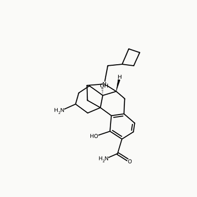 NC(=O)c1ccc2c(c1O)C13CCN(CC4CCC4)[C@H](C2)[C@]1(O)CCC(N)C3